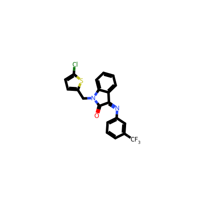 O=C1C(=Nc2cccc(C(F)(F)F)c2)c2ccccc2N1Cc1ccc(Cl)s1